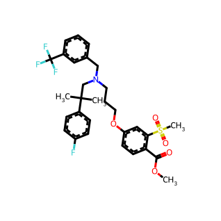 COC(=O)c1ccc(OCCCN(Cc2cccc(C(F)(F)F)c2)CC(C)(C)c2ccc(F)cc2)cc1S(C)(=O)=O